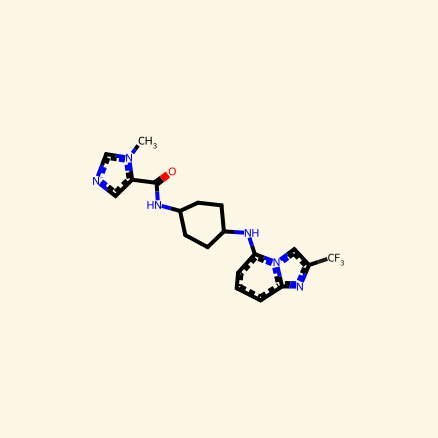 Cn1cncc1C(=O)NC1CCC(Nc2cccc3nc(C(F)(F)F)cn23)CC1